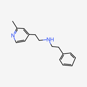 Cc1cc(CCNCCc2ccccc2)ccn1